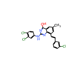 Cc1cc(/C=C/c2cccc(Cl)c2)c2nc(Nc3ccc(Cl)c(Cl)c3)nc(O)c2c1